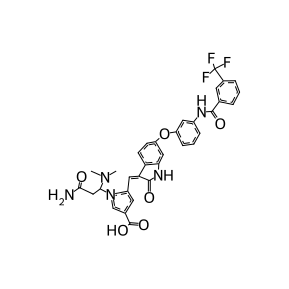 CN(C)C(CC(N)=O)n1cc(C(=O)O)cc1C=C1C(=O)Nc2cc(Oc3cccc(NC(=O)c4cccc(C(F)(F)F)c4)c3)ccc21